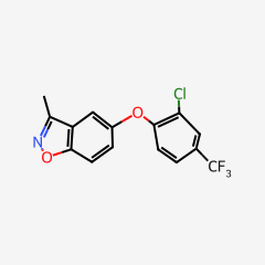 Cc1noc2ccc(Oc3ccc(C(F)(F)F)cc3Cl)cc12